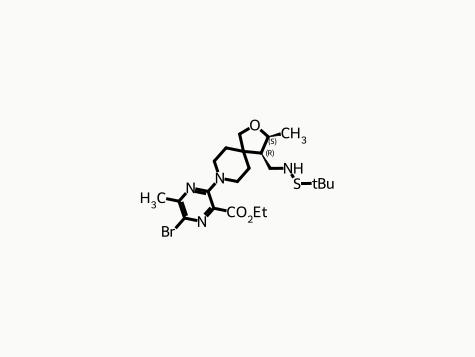 CCOC(=O)c1nc(Br)c(C)nc1N1CCC2(CC1)CO[C@@H](C)[C@H]2CNSC(C)(C)C